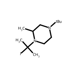 CC1CN(C(C)(C)C)CCN1C(C)(C)I